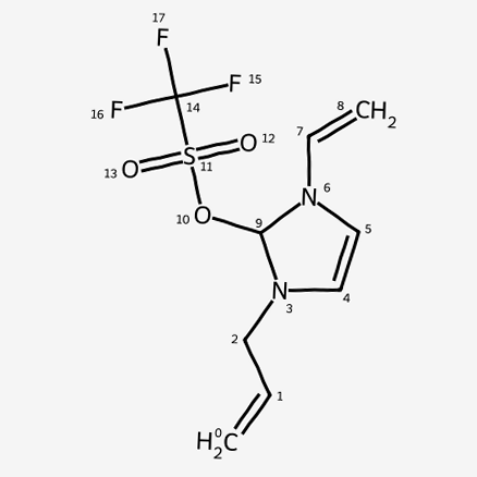 C=CCN1C=CN(C=C)C1OS(=O)(=O)C(F)(F)F